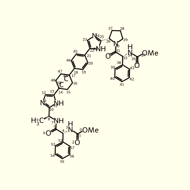 COC(=O)N[C@@H](C(=O)N[C@@H](C)c1ncc(C23CCC(c4ccc(-c5cnc([C@@H]6CCCN6C(=O)[C@H](NC(=O)OC)c6ccccc6)[nH]5)cc4)(CC2)CC3)[nH]1)c1ccccc1